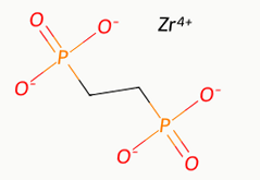 O=P([O-])([O-])CCP(=O)([O-])[O-].[Zr+4]